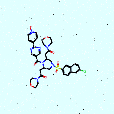 O=C(CC1CN(S(=O)(=O)c2ccc3cc(Cl)ccc3c2)CC(CC(=O)N2CCOCC2)N1C(=O)c1cnc(-c2cc[n+]([O-])cc2)nc1)N1CCOCC1